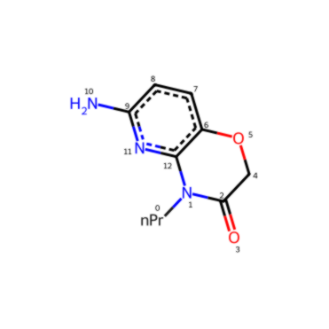 CCCN1C(=O)COc2ccc(N)nc21